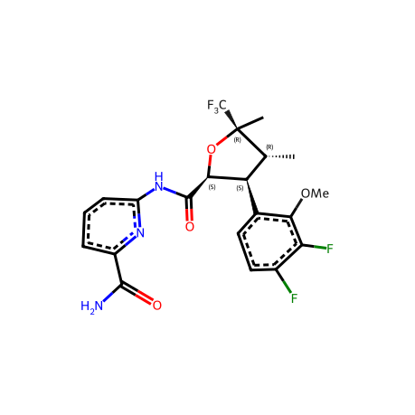 COc1c([C@H]2[C@@H](C(=O)Nc3cccc(C(N)=O)n3)O[C@@](C)(C(F)(F)F)[C@@H]2C)ccc(F)c1F